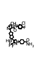 Cn1cnc(C2CC3CC(O)(c4cn(C5CCC(C(N)=O)CC5)nc4C(F)(F)F)CC3C2)c1C(=O)Nc1ccc(F)c(Cl)c1